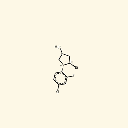 CC[C@@H]1CN(C)C[C@H]1c1ccc(Cl)cc1F